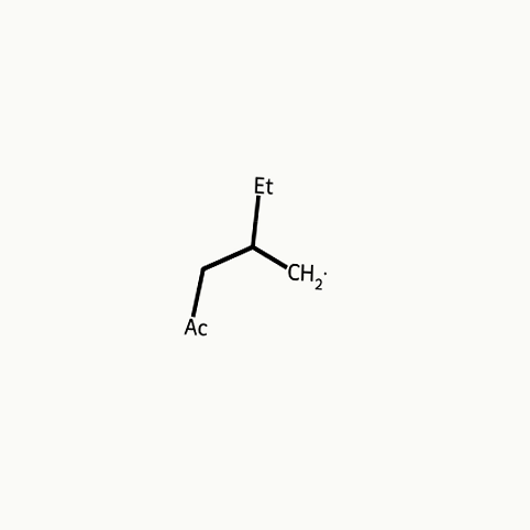 [CH2]C(=O)CC([CH2])CC